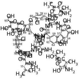 CC(=O)O.CC(C)[C@H](N)C(=O)O.CN[C@H](CC(C)C)C(=O)N[C@H]1C(=O)N[C@@H](CC(N)=O)C(=O)N[C@H]2C(=O)N[C@H]3C(=O)N[C@H](C(=O)N[C@H](C(=O)O)c4cc(O)cc(O)c4-c4cc3ccc4O)[C@H](O[C@H]3C[C@](C)(N)C(=O)[C@H](C)O3)c3ccc(c(Cl)c3)Oc3cc2cc(c3O[C@@H]2O[C@H](CO)[C@@H](O)[C@H](O)[C@H]2O)Oc2ccc(cc2Cl)[C@H]1O